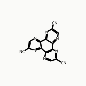 N#Cc1cnc2c(n1)c1ncc(C#N)nc1c1ncc(C#N)nc21